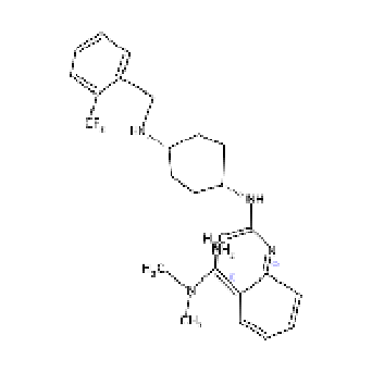 C=C(/N=C1/C=CC=C/C1=C(/N)N(C)C)N[C@H]1CC[C@@H](NCc2ccccc2C(F)(F)F)CC1